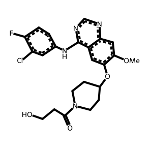 COc1cc2ncnc(Nc3ccc(F)c(Cl)c3)c2cc1OC1CCN(C(=O)CCO)CC1